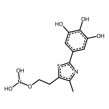 Cc1nc(-c2cc(O)c(O)c(O)c2)sc1CCON(O)O